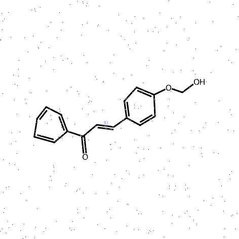 O=C(/C=C/c1ccc(OCO)cc1)c1ccccc1